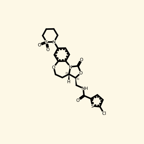 O=C(NC[C@@H]1OC(=O)N2c3ccc(N4CCCCS4(=O)=O)cc3OCC[C@@H]12)c1ccc(Cl)s1